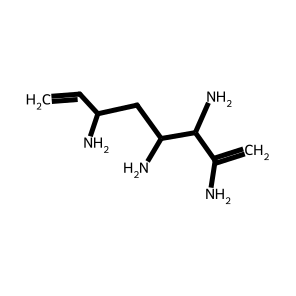 C=CC(N)CC(N)C(N)C(=C)N